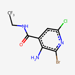 Nc1c(C(=O)NCC(F)(F)F)cc(Cl)nc1Br